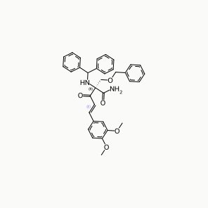 COc1ccc(/C=C/C(=O)[C@@](COCc2ccccc2)(NC(c2ccccc2)c2ccccc2)C(N)=O)cc1OC